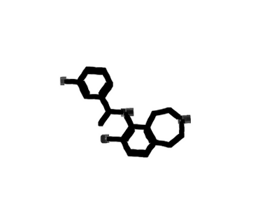 CC(Nc1c(Cl)ccc2c1CCNCC2)c1cccc(F)c1